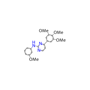 COc1cccc(Nc2nccc(-c3cc(OC)c(OC)c(OC)c3)n2)c1